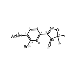 CC(=O)Nc1ccc(C2=NOC(C)(C)C2=O)bc1Br